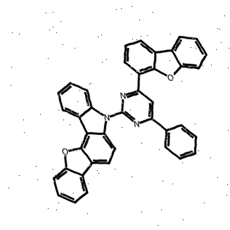 c1ccc(-c2cc(-c3cccc4c3oc3ccccc34)nc(-n3c4ccccc4c4c5oc6ccccc6c5ccc43)n2)cc1